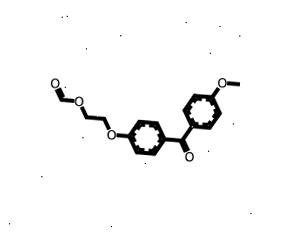 COc1ccc(C(=O)c2ccc(OCCOC=O)cc2)cc1